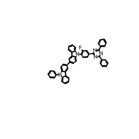 Fc1cc(-c2nc(-c3ccccc3)nc(-c3ccccc3)n2)ccc1-n1c2ccccc2c2cc(-c3ccc4c(c3)c3ccccc3n4-c3ccccc3)ccc21